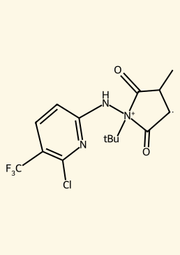 CC1[CH]C(=O)[N+](Nc2ccc(C(F)(F)F)c(Cl)n2)(C(C)(C)C)C1=O